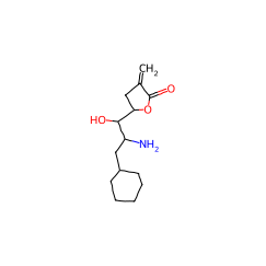 C=C1CC(C(O)C(N)CC2CCCCC2)OC1=O